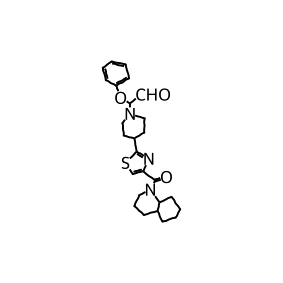 O=CC(Oc1ccccc1)N1CCC(c2nc(C(=O)N3CCCC4CCCCC43)cs2)CC1